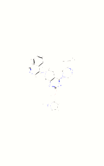 CN1CCC[C@H]1COc1nc2c(c(N3CCN[C@@H](CC#N)C3)n1)CCN(c1cncc3ccccc13)C2